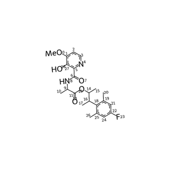 COc1ccnc(C(=O)NC(C)C(=O)OC(C)C(C)c2c(C)cc(F)cc2C)c1O